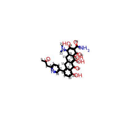 CC(=O)Cc1ccc(-c2ccc(O)c3c2CC2CC4C(N(C)C)C(O)=C(C(N)=O)C(=O)C4(O)C(O)=C2C3=O)cn1